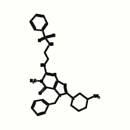 Cn1c(NCCNS(=O)(=O)c2ccccc2)nc2nc(N3CCCC(N)C3)n(Cc3ccccc3)c2c1=O